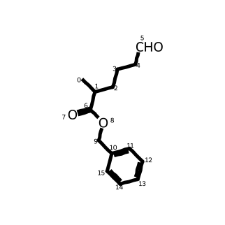 CC(CCCC=O)C(=O)OCc1ccccc1